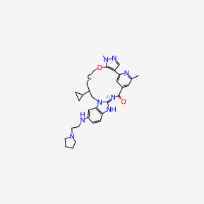 Cc1cc2cc(n1)-c1cnn(C)c1OCCCC(C1CC1)CN1/C(=N/C2=O)Nc2ccc(NCCN3CCCC3)cc21